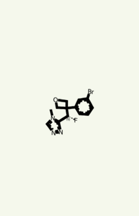 Cn1cnnc1[C@@H](F)C1(c2cccc(Br)c2)COC1